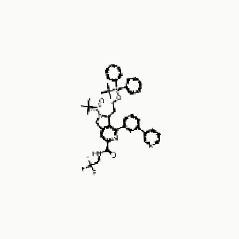 CC(C)(C)[S@@+]([O-])N1Cc2cc(C(=O)NCC(F)(F)F)nc(-c3cccc(-c4cccnc4)c3)c2C1CCO[Si](c1ccccc1)(c1ccccc1)C(C)(C)C